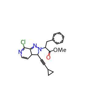 COC(=O)C(Cc1ccccc1)N1N=C2C(Cl)=NC=CC2C1C#CC1CC1